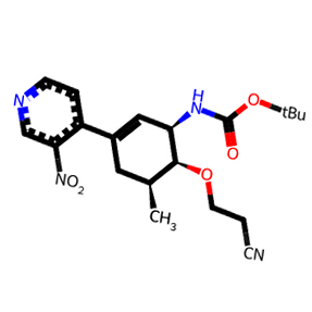 C[C@H]1CC(c2ccncc2[N+](=O)[O-])=C[C@@H](NC(=O)OC(C)(C)C)[C@H]1OCCC#N